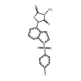 CN1C(=O)SC(c2cccc3c2ccn3S(=O)(=O)c2ccc(F)cc2)C1=O